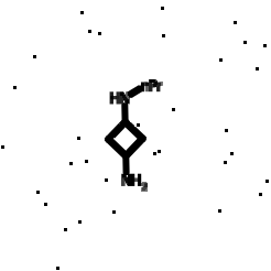 CCCNC1CC(N)C1